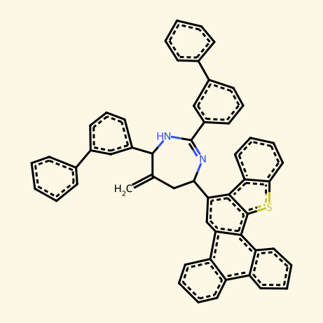 C=C1CC(c2cc3c4ccccc4c4ccccc4c3c3sc4ccccc4c23)N=C(c2cccc(-c3ccccc3)c2)NC1c1cccc(-c2ccccc2)c1